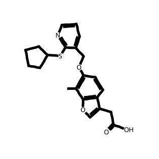 Cc1c(OCc2cccnc2SC2CCCC2)ccc2c(CC(=O)O)coc12